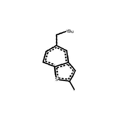 Cc1cc2cc(CC(C)(C)C)ccc2s1